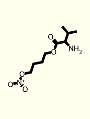 CC(C)C(N)C(=O)OCCCCO[N+](=O)[O-]